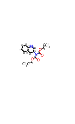 O=C(OCC(Cl)(Cl)Cl)N(C(=O)OCC(Cl)(Cl)Cl)c1cnc2ccccc2c1